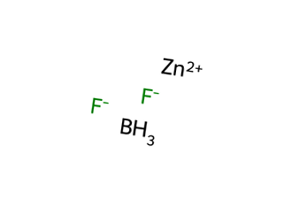 B.[F-].[F-].[Zn+2]